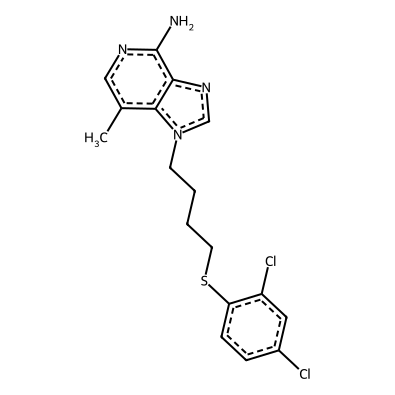 Cc1cnc(N)c2ncn(CCCCSc3ccc(Cl)cc3Cl)c12